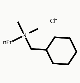 CCC[N+](C)(C)CC1CCCCC1.[Cl-]